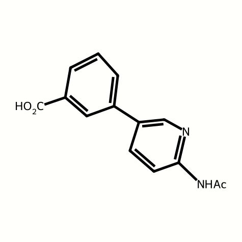 CC(=O)Nc1ccc(-c2cccc(C(=O)O)c2)cn1